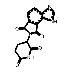 O=C1CCC(N2C(=O)c3ccc4nc[nH]c4c3C2=O)C(=O)N1